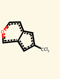 ClC(Cl)(Cl)c1[c]c2ccocc-2c1